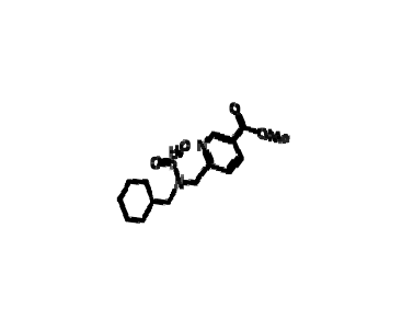 COC(=O)c1ccc(CN(CC2CCCCC2)[SH](=O)=O)nc1